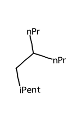 CCCC(C)CC(CCC)CCC